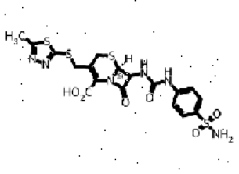 Cc1nnc(SCC2=C(C(=O)O)N3C(=O)C(NC(=O)Nc4ccc(S(N)(=O)=O)cc4)[C@@H]3SC2)s1